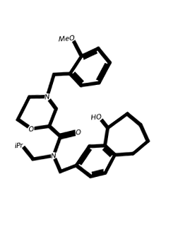 COc1ccccc1CN1CCOC(C(=O)N(Cc2ccc3c(c2)C(O)CCCC3)CC(C)C)C1